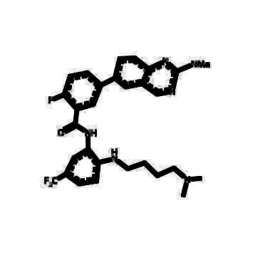 CNc1ncc2cc(-c3ccc(F)c(C(=O)Nc4cc(C(F)(F)F)ccc4NCCCCN(C)C)c3)ccc2n1